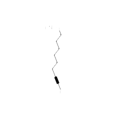 CCCCCCCCC#CCCCCCCCCCCCCCCC